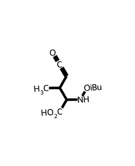 CC(C)CONC(C(=O)O)C(C)C=C=O